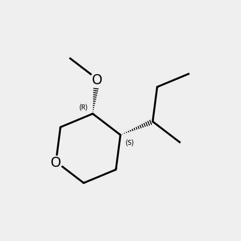 CCC(C)[C@@H]1CCOC[C@@H]1OC